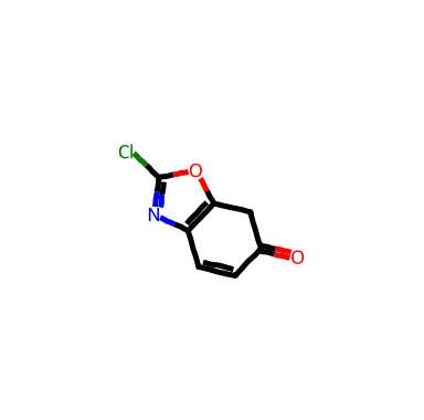 O=C1C=Cc2nc(Cl)oc2C1